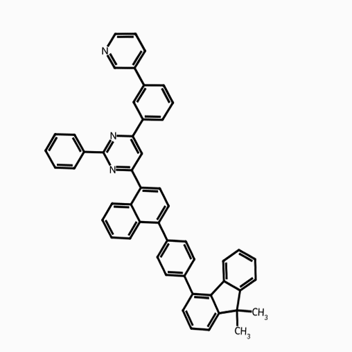 CC1(C)c2ccccc2-c2c(-c3ccc(-c4ccc(-c5cc(-c6cccc(-c7cccnc7)c6)nc(-c6ccccc6)n5)c5ccccc45)cc3)cccc21